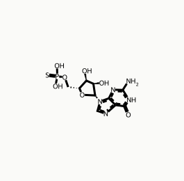 Nc1nc2c(ncn2[C@@H]2O[C@H](COP(O)(O)=S)[C@@H](O)[C@H]2O)c(=O)[nH]1